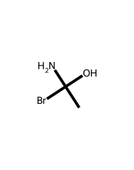 CC(N)(O)Br